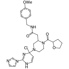 COc1ccc(CNC(=O)CC2CN(C3(Cl)C=CNC(n4ccnc4)=N3)CCN2C(=O)C2CCCO2)cc1